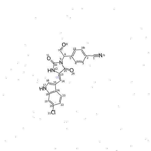 N#Cc1ccc(C(C=O)N2C(=O)N/C(=C\c3c[nH]c4cc(Cl)ccc34)C2=O)cc1